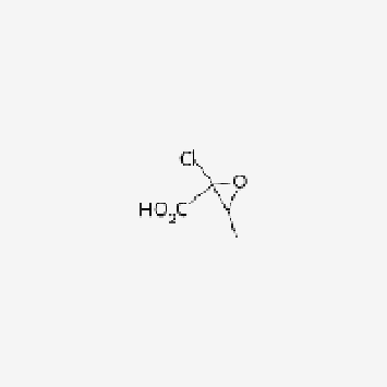 CC1OC1(Cl)C(=O)O